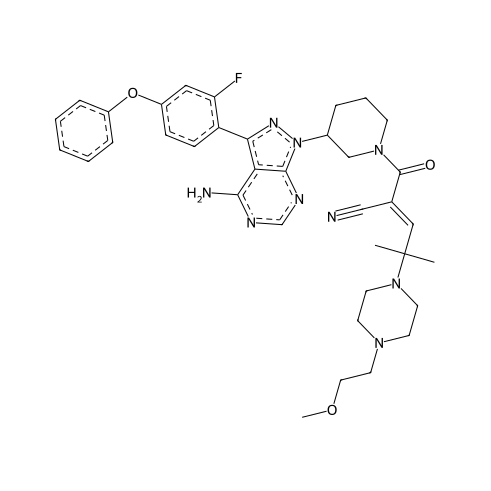 COCCN1CCN(C(C)(C)C=C(C#N)C(=O)N2CCCC(n3nc(-c4ccc(Oc5ccccc5)cc4F)c4c(N)ncnc43)C2)CC1